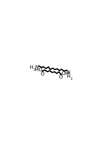 NCCCCCCCCCCCCCN.O=C(O)CCCCCCCC(=O)O